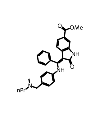 CCCN(C)Cc1ccc(N/C(=C2\C(=O)Nc3cc(C(=O)OC)ccc32)c2ccccc2)cc1